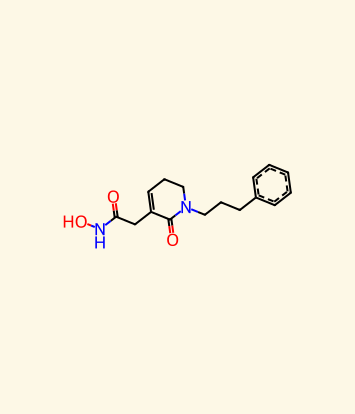 O=C(CC1=CCCN(CCCc2ccccc2)C1=O)NO